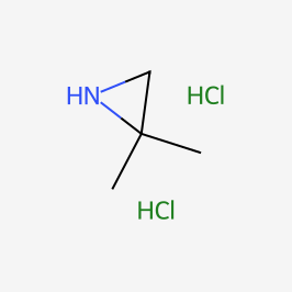 CC1(C)CN1.Cl.Cl